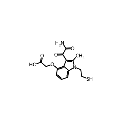 Cc1c(C(=O)C(N)=O)c2c(OCC(=O)O)cccc2n1CCS